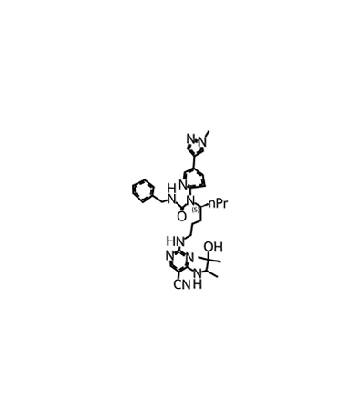 CCC[C@@H](CCCNc1ncc(C#N)c(NC(C)C(C)(C)O)n1)N(C(=O)NCc1ccccc1)c1ccc(-c2cnn(C)c2)cn1